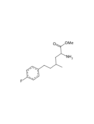 COC(=O)C(N)CC(C)CCc1ccc(F)cc1